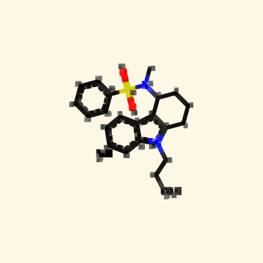 CN(C1CCCc2c1c1ccccc1n2CCC(=O)O)S(=O)(=O)c1ccccc1.[NaH]